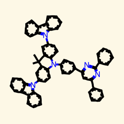 CC1(C)c2cc(-n3c4ccccc4c4ccccc43)ccc2N(c2ccc(-c3cc(-c4ccccc4)nc(-c4ccccc4)n3)cc2)c2ccc(-n3c4ccccc4c4ccccc43)cc21